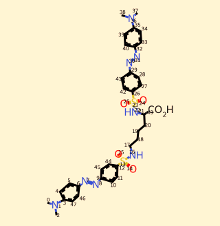 CN(C)c1ccc(/N=N/c2ccc(S(=O)(=O)NCCCCC(NS(=O)(=O)c3ccc(/N=N/c4ccc(N(C)C)cc4)cc3)C(=O)O)cc2)cc1